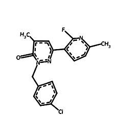 Cc1ccc(-c2cc(C)c(=O)n(Cc3ccc(Cl)cc3)n2)c(F)n1